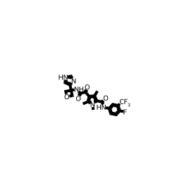 Cc1c(C(=O)C(=O)NC2(c3c[nH]cn3)COC2)c(C)n(C)c1C(=O)Nc1ccc(F)c(C(F)(F)F)c1